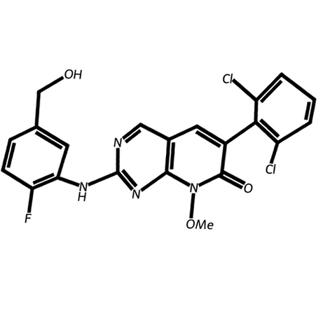 COn1c(=O)c(-c2c(Cl)cccc2Cl)cc2cnc(Nc3cc(CO)ccc3F)nc21